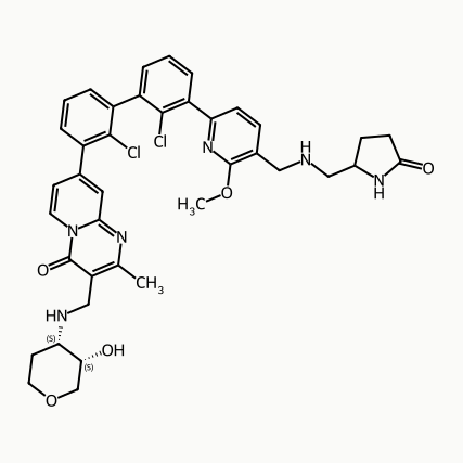 COc1nc(-c2cccc(-c3cccc(-c4ccn5c(=O)c(CN[C@H]6CCOC[C@H]6O)c(C)nc5c4)c3Cl)c2Cl)ccc1CNCC1CCC(=O)N1